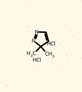 CC1(C)C=CN=N1.Cl.Cl